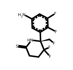 Nc1cc(F)c(F)c([C@@]2(CF)NC(=S)CCC2(F)F)c1